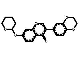 O=c1c(-c2ccc3c(c2)OCCO3)coc2cc(OC3CCCCO3)ccc12